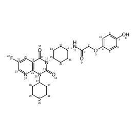 O=C(COc1ccc(O)cc1)N[C@H]1CC[C@@H](n2c(=O)c3cc(F)cnc3n(C3CCSCC3)c2=O)CC1